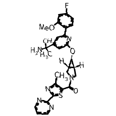 COc1cc(F)ccc1-c1cc(C(C)(C)N)cc(O[C@@H]2[C@@H]3CN(C(=O)c4sc(-c5ncccn5)nc4C)C[C@@H]32)n1